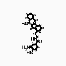 Nc1cc(C(=O)N/N=C/c2cccc3c2ccn3CC2CC=CC=C2CO)ccc1O